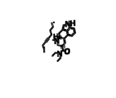 CCN(CC)C(=O)[C@@H]1C=C2c3cccc4[nH]cc(c34)C[C@H]2N(C)C1.[CH2]CCCC#CCI